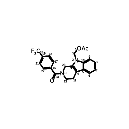 CC(=O)OCn1c2c(c3ccccc31)CCN(C(=O)c1ccc(C(F)(F)F)cc1)C2